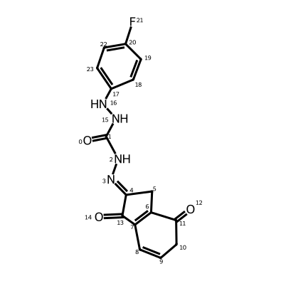 O=C(NN=C1CC2=C(C=CCC2=O)C1=O)NNc1ccc(F)cc1